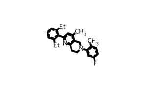 CCc1cccc(CC)c1-c1cc(C)c2c(n1)CCN(c1cc(F)ccc1C)C2